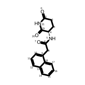 O=C1CC[C@H](NC(=O)Cc2cccc3ccccc23)C(=O)N1